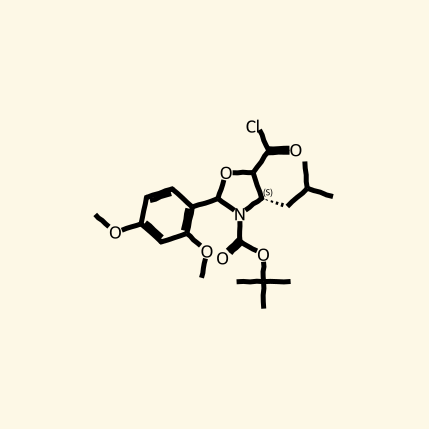 COc1ccc(C2OC(C(=O)Cl)[C@H](CC(C)C)N2C(=O)OC(C)(C)C)c(OC)c1